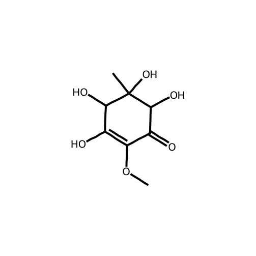 COC1=C(O)C(O)C(C)(O)C(O)C1=O